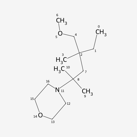 CCC(C)(COC)CC(C)(C)N1CCOCC1